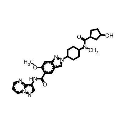 COc1cc2nn(C3CCC(N(C)C(=O)C4CCC(O)C4)CC3)cc2cc1C(=O)Nc1cnn2cccnc12